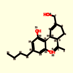 C=C(C)[C@@H]1CCC(CO)=C[C@H]1c1c(O)cc(CCCC)cc1O